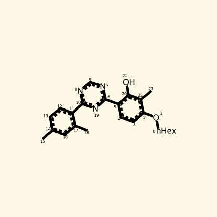 CCCCCCOc1ccc(-c2ncnc(-c3ccc(C)cc3C)n2)c(O)c1C